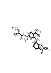 CO[C@H](C)[C@H](N)CNc1ncc(C(N)=O)c(Nc2cccc3c2CC(C)N3)n1